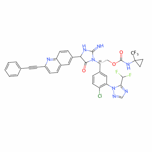 N=C1NC(c2ccc3nc(C#Cc4ccccc4)ccc3c2)C(=O)N1[C@H](COC(=O)NC1(C(F)(F)F)CC1)c1ccc(Cl)c(-n2ncnc2C(F)F)c1